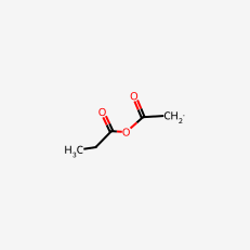 [CH2]C(=O)OC(=O)CC